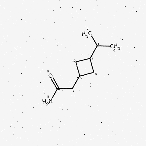 CC(C)C1CC(CC(N)=O)C1